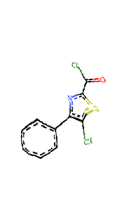 O=C(Cl)c1nc(-c2ccccc2)c(Cl)s1